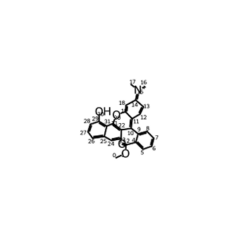 COC(=O)c1ccccc1-c1c2ccc(=[N+](C)C)cc-2oc2c1ccc1cccc(O)c12